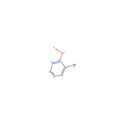 CC(C)c1cccnc1OI